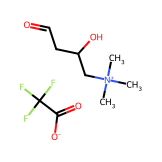 C[N+](C)(C)CC(O)CC=O.O=C([O-])C(F)(F)F